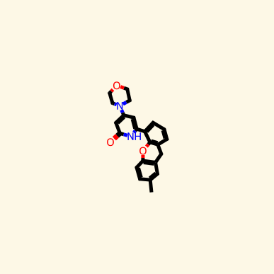 Cc1ccc2c(c1)Cc1cccc(-c3cc(N4CCOCC4)cc(=O)[nH]3)c1O2